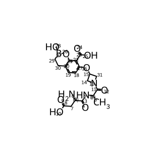 C[C@@H](NC(=O)[C@H](N)CC(=O)O)C(=O)N1CC(Oc2ccc3c(c2C(=O)O)OB(O)CC3)C1